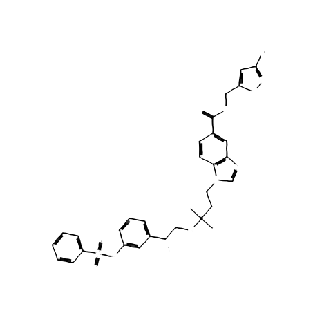 CC(C)(CCn1cnc2cc(C(=O)NCc3cc(O)n[nH]3)ccc21)NC[C@H](O)c1cccc(NS(=O)(=O)c2ccccc2)c1